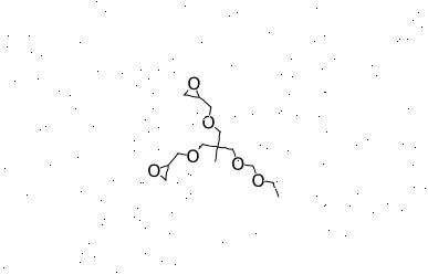 CCOCOCC(C)(COCC1CO1)COCC1CO1